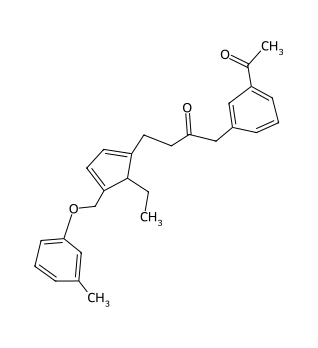 CCC1C(CCC(=O)Cc2cccc(C(C)=O)c2)=CC=C1COc1cccc(C)c1